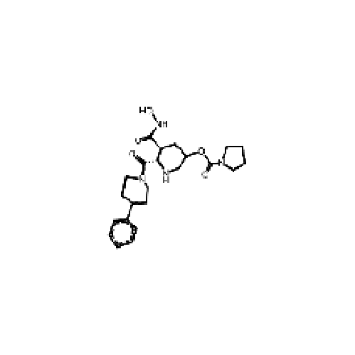 O=C(NO)[C@H]1CC(OC(=O)N2CCCC2)CN[C@@H]1C(=O)N1CCC(c2ccccc2)CC1